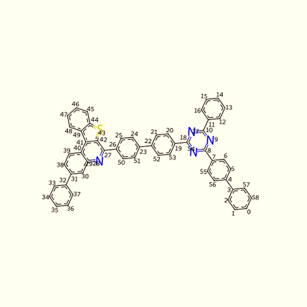 c1ccc(-c2ccc(-c3nc(-c4ccccc4)nc(-c4ccc(-c5ccc(-c6nc7cc(-c8ccccc8)ccc7c7c6sc6ccccc67)cc5)cc4)n3)cc2)cc1